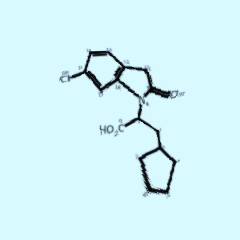 O=C(O)C(CC1CCCC1)N1C(=O)Cc2ccc(Cl)cc21